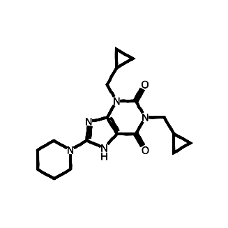 O=c1c2[nH]c(N3CCCCC3)nc2n(CC2CC2)c(=O)n1CC1CC1